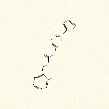 O=C(NCc1ccccc1O)Nc1nnc(-c2ccco2)o1